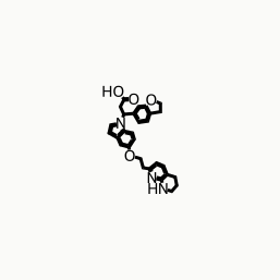 O=C(O)CC(c1ccc2c(c1)OCC2)n1ccc2cc(OCCc3ccc4c(n3)NCCC4)ccc21